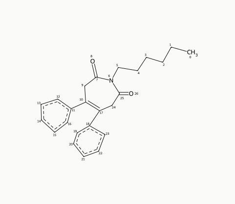 CCCCCCN1C(=O)CC(c2ccccc2)=C(c2ccccc2)CC1=O